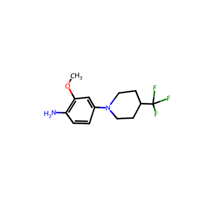 COc1cc(N2CCC(C(F)(F)F)CC2)ccc1N